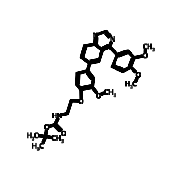 COc1ccc(-c2ncnc3ccc(-c4ccc(OCCNC(=O)OC(C)(C)C)c(OC)c4)cc23)cc1OC